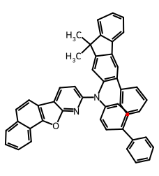 CC1(C)c2ccccc2-c2cc(-c3ccccc3)c(N(c3ccc(-c4ccccc4)cc3)c3ccc4c(n3)oc3c5ccccc5ccc43)cc21